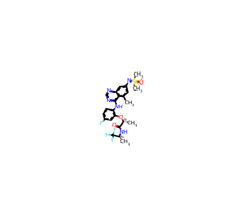 Cc1cc(N=S(C)(C)=O)cc2ncnc(Nc3ccc(F)cc3O[C@H](C)C(=O)N[C@H](C)C(F)(F)F)c12